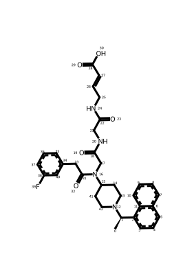 C[C@H](c1cccc2ccccc12)N1CCC(N(CC(=O)NCC(=O)NC/C=C/C(=O)O)C(=O)Cc2cccc(F)c2)CC1